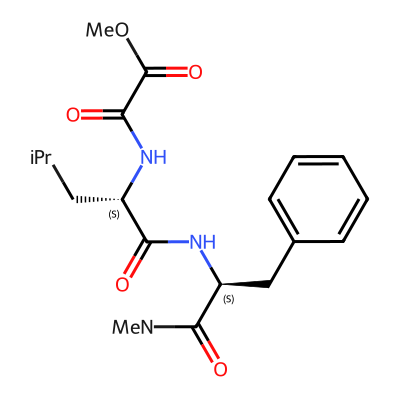 CNC(=O)[C@H](Cc1ccccc1)NC(=O)[C@H](CC(C)C)NC(=O)C(=O)OC